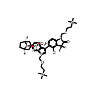 C[Si](C)(C)CCOCN1C(=O)C(F)(F)c2c1ccc(-c1cn(COCC[Si](C)(C)C)c3nc(N4[C@@H]5CC[C@H]4C[C@@H](NC(=O)O)C5)cnc13)c2Cl